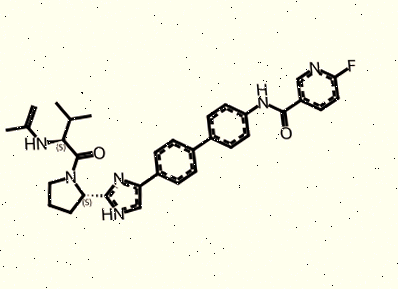 C=C(C)N[C@H](C(=O)N1CCC[C@H]1c1nc(-c2ccc(-c3ccc(NC(=O)c4ccc(F)nc4)cc3)cc2)c[nH]1)C(C)C